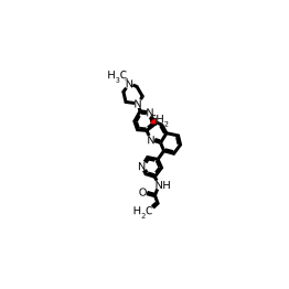 C=CC(=O)Nc1cncc(C2=CC=CC(=C/N=C)/C2=N\c2ccc(N3CCN(C)CC3)nc2)c1